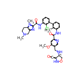 COc1cc(C(=O)Nc2cccc(-c3cccc(NC(=O)c4nc5c(n4C)CCN(C)C5)c3Cl)c2C)ncc1CN[C@H]1CONC1=C=O